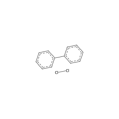 ClCl.c1ccc(-c2ccccc2)cc1